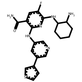 NC(=O)c1cc(F)c(NC2CCCCC2N)nc1Nc1cncc(-c2ccsc2)c1